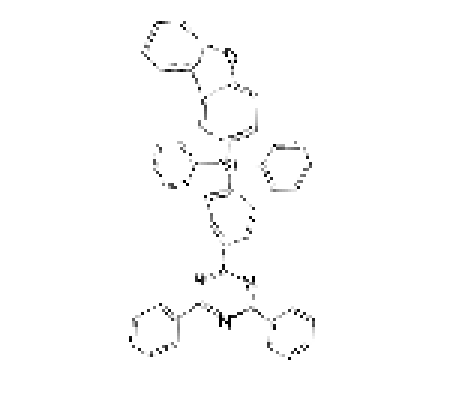 c1ccc(-c2nc(-c3ccccc3)nc(-c3ccc([Si](c4ccccc4)(c4ccccc4)c4ccc5oc6ccccc6c5c4)cc3)n2)cc1